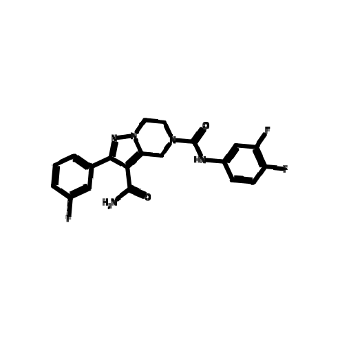 NC(=O)c1c(-c2cccc(F)c2)nn2c1CN(C(=O)Nc1ccc(F)c(F)c1)CC2